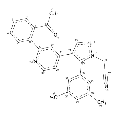 CC(=O)c1ccccc1-c1cc(-c2cnn(CC#N)c2-c2cc(C)cc(O)c2)ccn1